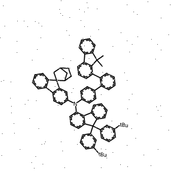 CC(C)(C)c1cccc(C2(c3cccc(C(C)(C)C)c3)c3ccccc3-c3c(N(c4ccc(-c5ccccc5-c5cccc6c5C(C)(C)c5ccccc5-6)cc4)c4ccc5c(c4)C4(CC6CCC4C6)c4ccccc4-5)cccc32)c1